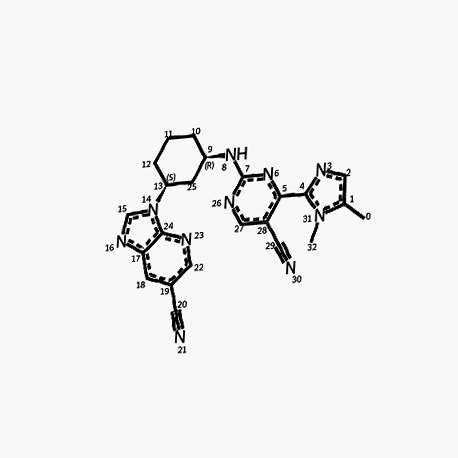 Cc1cnc(-c2nc(N[C@@H]3CCC[C@H](n4cnc5cc(C#N)cnc54)C3)ncc2C#N)n1C